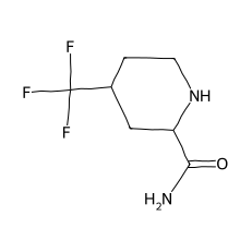 NC(=O)C1CC(C(F)(F)F)CCN1